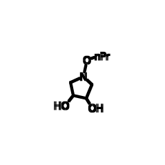 CCCON1CC(O)C(O)C1